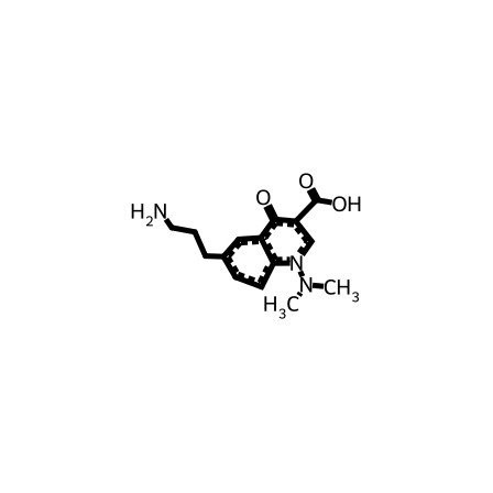 CN(C)n1cc(C(=O)O)c(=O)c2cc(CCCN)ccc21